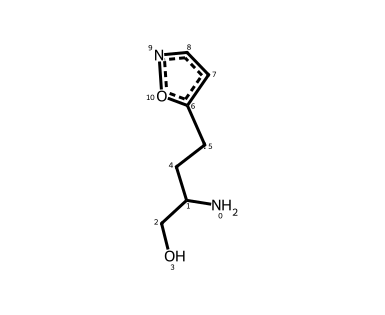 NC(CO)C[CH]c1ccno1